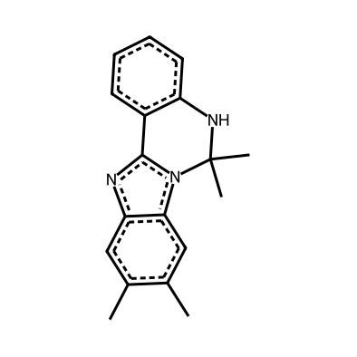 Cc1cc2nc3n(c2cc1C)C(C)(C)Nc1ccccc1-3